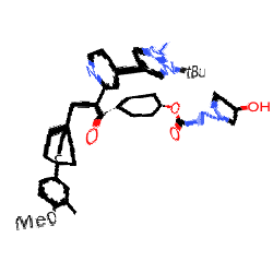 COc1ccc(C23CCC(CC(c4cc(-c5cnn(C(C)(C)C)c5)ccn4)C(=O)[C@H]4CC[C@H](OC(=O)N5CC(O)C5)CC4)(CC2)CC3)cc1C